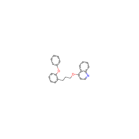 c1ccc(Oc2ccccc2CCCOc2ccnc3ccccc23)cc1